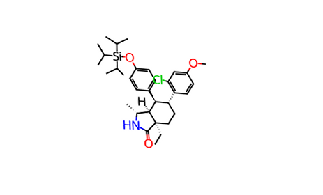 CC[C@@]12CC[C@@H](c3ccc(OC)cc3Cl)[C@H](c3ccc(O[Si](C(C)C)(C(C)C)C(C)C)cc3)[C@@H]1[C@@H](C)NC2=O